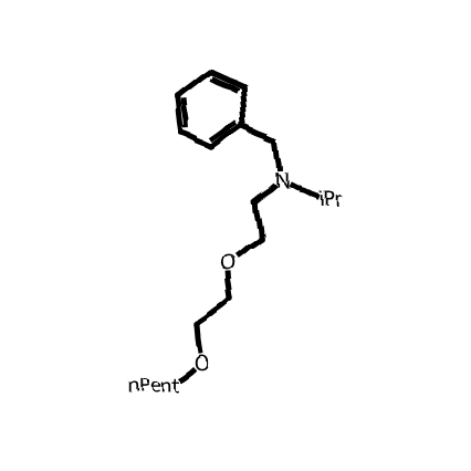 CCCCCOCCOCCN(Cc1ccccc1)C(C)C